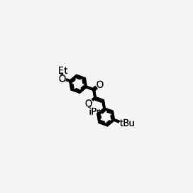 CCOc1ccc(C(=O)C(=Cc2cccc(C(C)(C)C)c2)OC(C)C)cc1